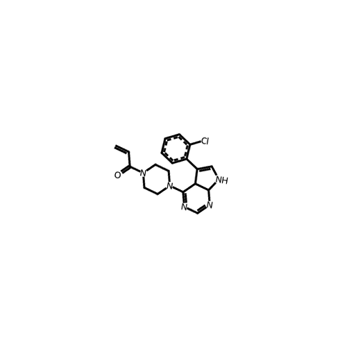 C=CC(=O)N1CCN(C2=NC=NC3NC=C(c4ccccc4Cl)C23)CC1